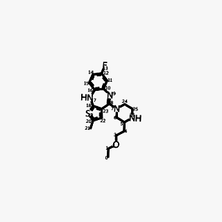 CCOCCC1CN(C2=Nc3cc(F)ccc3Nc3sc(C)cc32)CCN1